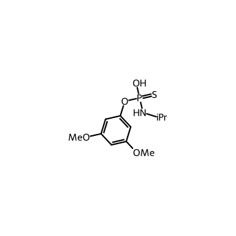 COc1cc(OC)cc(OP(O)(=S)NC(C)C)c1